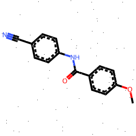 COc1ccc(C(=O)Nc2ccc(C#N)cc2)cc1